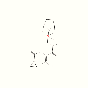 C=C(C(OC(=C)C1CC1)=C(C)C)C(C)CC1CC2CCC(C1)N2CC(C)=O